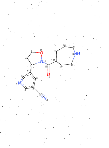 N#Cc1cncc([C@@H]2CCON2C(=O)C2CCCNCC2)c1